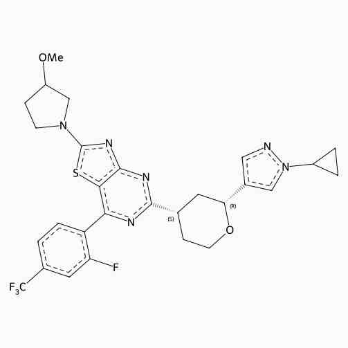 COC1CCN(c2nc3nc([C@H]4CCO[C@@H](c5cnn(C6CC6)c5)C4)nc(-c4ccc(C(F)(F)F)cc4F)c3s2)C1